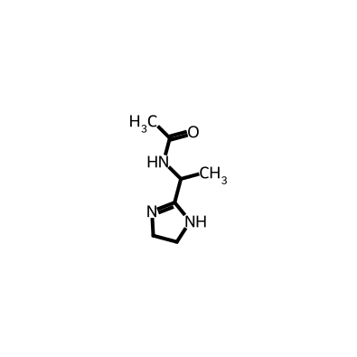 CC(=O)NC(C)C1=NCCN1